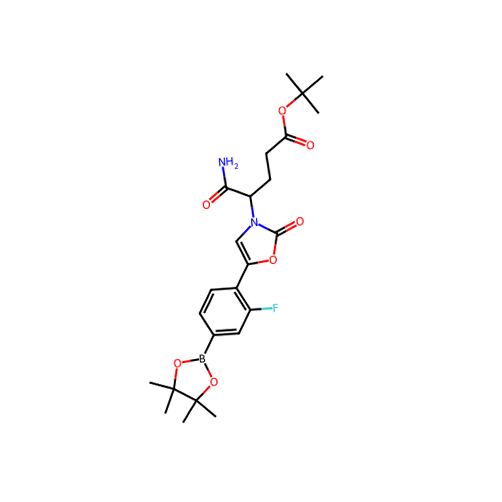 CC(C)(C)OC(=O)CCC(C(N)=O)n1cc(-c2ccc(B3OC(C)(C)C(C)(C)O3)cc2F)oc1=O